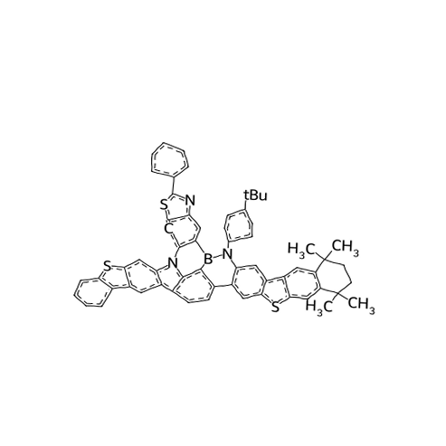 CC(C)(C)c1ccc(N2B3c4cc5nc(-c6ccccc6)sc5cc4-n4c5cc6sc7ccccc7c6cc5c5ccc(c3c54)-c3cc4sc5cc6c(cc5c4cc32)C(C)(C)CCC6(C)C)cc1